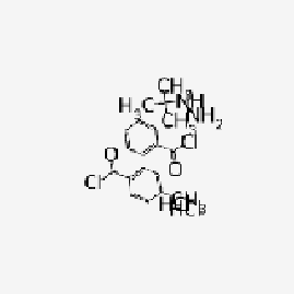 CC(C)(C)NN.Cc1ccc(C(=O)Cl)cc1.Cl.Cl.O=C(Cl)c1ccccc1